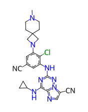 CN1CCC2(CC1)CN(c1cc(C#N)cc(Nc3nc(NC4CC4)c4ncc(C#N)n4n3)c1Cl)C2